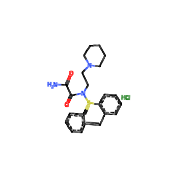 Cl.NC(=O)C(=O)N(CCN1CCCCC1)S1=c2ccccc2=Cc2ccccc21